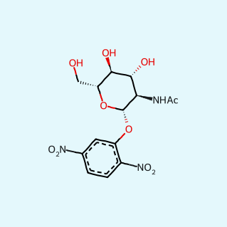 CC(=O)N[C@H]1[C@H](Oc2cc([N+](=O)[O-])ccc2[N+](=O)[O-])O[C@H](CO)[C@@H](O)[C@@H]1O